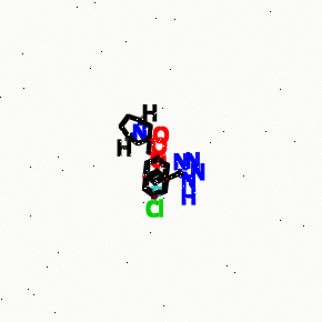 O=C(COc1ccc(Cl)cc1-c1nnn[nH]1)N1[C@@H]2CC[C@H]1CC(Oc1ccc(F)cc1)C2